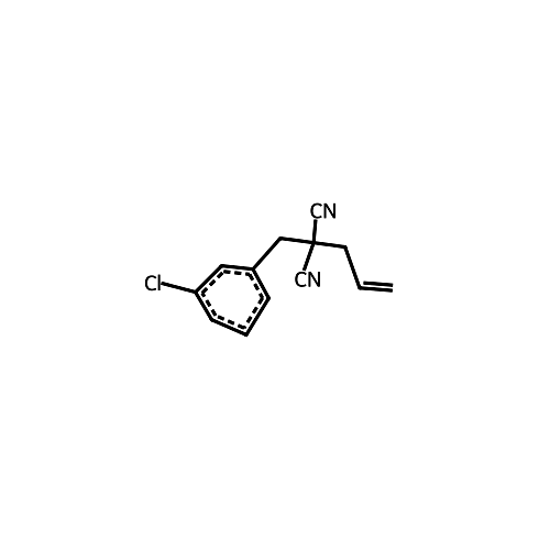 C=CCC(C#N)(C#N)Cc1cccc(Cl)c1